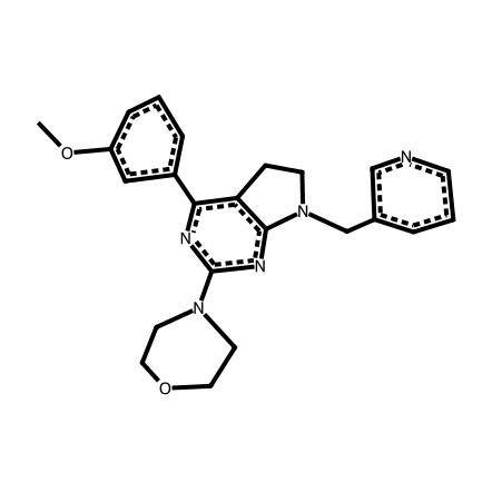 COc1cccc(-c2nc(N3CCOCC3)nc3c2CCN3Cc2cccnc2)c1